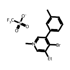 CCc1c[n+](C)cc(-c2cccc(C)c2)c1Br.O=S(=O)([O-])C(F)(F)F